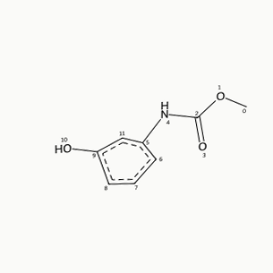 COC(=O)Nc1cccc(O)c1